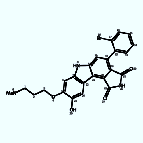 CNCCCOc1cc2[nH]c3cc(-c4ccccc4Br)c4c(c3c2cc1O)C(=O)NC4=O